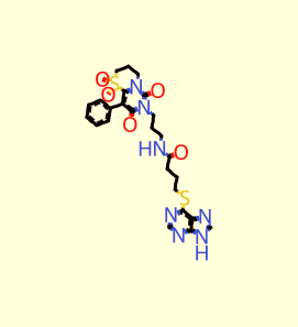 O=C(CCCSc1ncnc2[nH]cnc12)NCCCn1c(=O)c(-c2ccccc2)c2n(c1=O)CCCS2(=O)=O